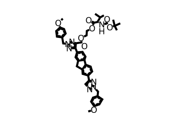 COc1ccc(Cn2ncc(-c3ccc4c(c3)Cc3cc(-c5nn(Cc6ccc(OC)cc6)nc5C(=O)OCCOC(=O)[C@@H](NC(=O)OC(C)(C)C)C(C)C)ccc3-4)n2)cc1